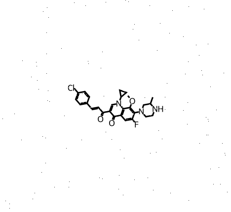 COc1c(N2CCNC(C)C2)c(F)cc2c(=O)c(C(=O)/C=C/c3ccc(Cl)cc3)cn(C3CC3)c12